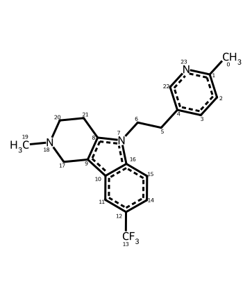 Cc1ccc(CCn2c3c(c4cc(C(F)(F)F)ccc42)CN(C)CC3)cn1